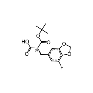 CC(C)(C)OC(=O)[C@@H](Cc1cc(F)c2c(c1)OCO2)C(=O)O